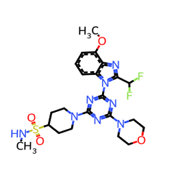 CNS(=O)(=O)C1CCN(c2nc(N3CCOCC3)nc(-n3c(C(F)F)nc4c(OC)cccc43)n2)CC1